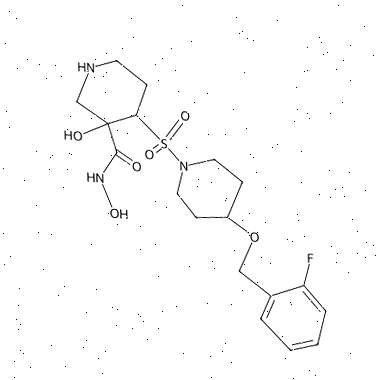 O=C(NO)C1(O)CNCCC1S(=O)(=O)N1CCC(OCc2ccccc2F)CC1